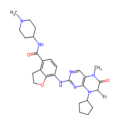 CCC1C(=O)N(C)c2cnc(Nc3ccc(C(=O)NC4CCN(C)CC4)c4c3OCC4)nc2N1C1CCCC1